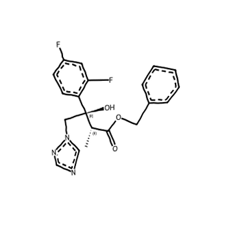 C[C@@H](C(=O)OCc1ccccc1)[C@](O)(Cn1cncn1)c1ccc(F)cc1F